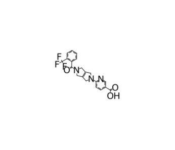 O=C(O)c1ccc(N2CC3=C(CN(C(=O)c4ccccc4C(F)(F)F)C3)C2)nc1